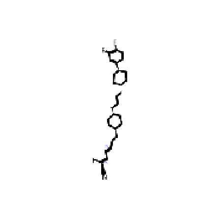 N#C/C(F)=C/C=C/CC[C@H]1CC[C@H](CCCC[C@H]2CC[C@H](c3ccc(F)c(F)c3)CC2)CC1